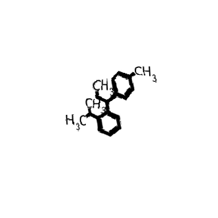 CCC(c1ccc(C)cc1)c1ccccc1C(C)C